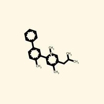 Cc1cc(-c2cc(-c3ccccc3)ccc2C)[n+](C)cc1CC(C)C